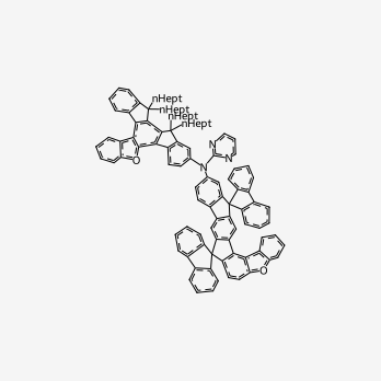 CCCCCCCC1(CCCCCCC)c2cc(N(c3ccc4c(c3)C3(c5ccccc5-c5ccccc53)c3cc5c(cc3-4)C3(c4ccccc4-c4ccccc43)c3ccc4oc6ccccc6c4c3-5)c3ncccn3)ccc2-c2c1c1c(c3c2oc2ccccc23)-c2ccccc2C1(CCCCCCC)CCCCCCC